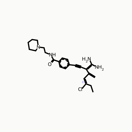 C=C(/C=C(/Cl)CC)C(C#Cc1ccc(C(=O)NCCN2CCCCC2)cc1)=C(N)N